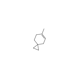 CC1=CCC2(CC1)CC2